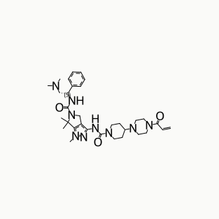 C=CC(=O)N1CCN(C2CCN(C(=O)Nc3nn(C)c4c3CN(C(=O)N[C@H](CN(C)C)c3ccccc3)C4(C)C)CC2)CC1